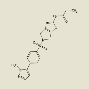 C=CC(=O)Nc1cc2c(o1)CN(S(=O)(=O)c1ccc(-c3ccnn3C)cc1)C2